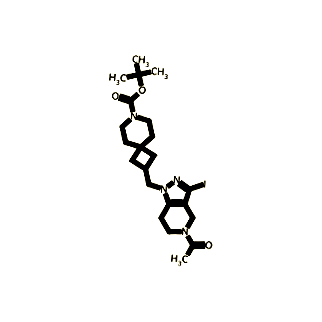 CC(=O)N1CCc2c(c(I)nn2CC2CC3(CCN(C(=O)OC(C)(C)C)CC3)C2)C1